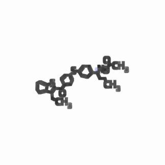 CCC/C(=N\OC(C)=O)c1ccc(Sc2ccc(C(=O)c3sc4ccccc4c3CC)cc2)cc1